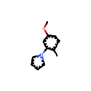 COc1ccc(C)c(-n2cccc2)c1